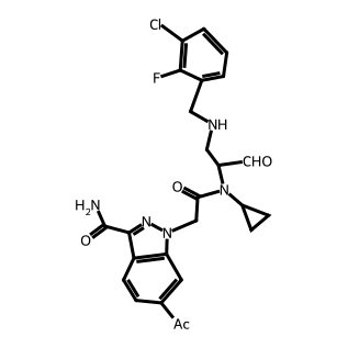 CC(=O)c1ccc2c(C(N)=O)nn(CC(=O)N(C(C=O)CNCc3cccc(Cl)c3F)C3CC3)c2c1